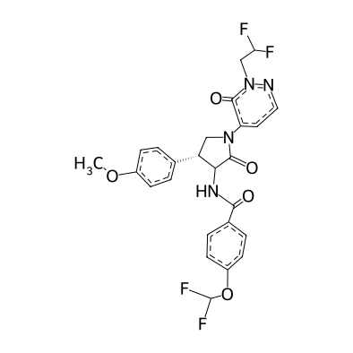 COc1ccc([C@@H]2CN(c3ccnn(CC(F)F)c3=O)C(=O)C2NC(=O)c2ccc(OC(F)F)cc2)cc1